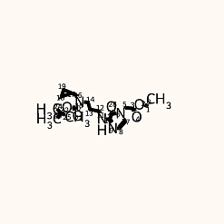 CCOC(=O)Cn1ccnc(NCCCN(CC2CC2)C(=O)OC(C)(C)C)c1=O